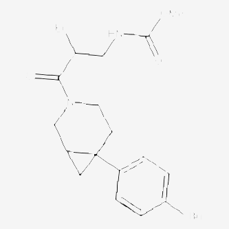 CCC(CNC(=O)OC)C(=O)N1CCC2(c3ccc(C(C)(C)C)cc3)CC2C1